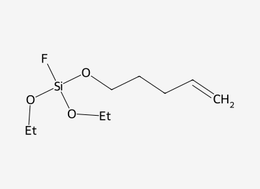 C=CCCCO[Si](F)(OCC)OCC